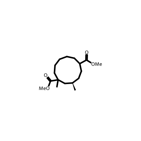 COC(=O)C1CCCCCC(C)(C(=O)OC)C[C@H](C)CC1